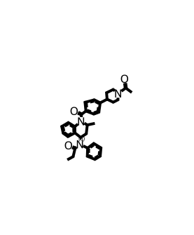 CCC(=O)N(c1ccccc1)[C@H]1CC(C)N(C(=O)c2ccc(C3CCN(C(C)=O)CC3)cc2)c2ccccc21